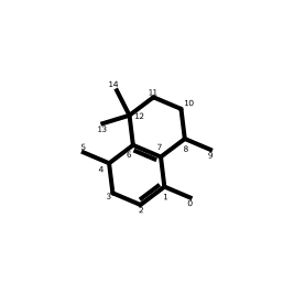 CC1=CCC(C)C2=C1C(C)CCC2(C)C